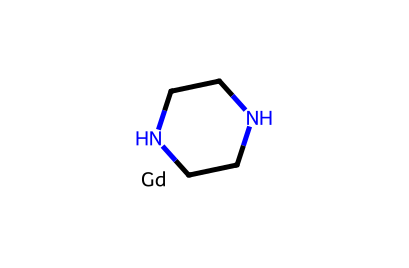 C1CNCCN1.[Gd]